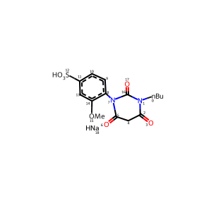 CCCCN1C(=O)CC(=O)N(c2ccc(S(=O)(=O)O)cc2OC)C1=O.[NaH]